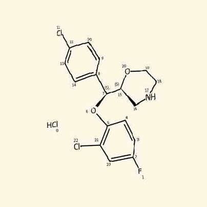 Cl.Fc1ccc(O[C@@H](c2ccc(Cl)cc2)[C@@H]2CNCCO2)c(Cl)c1